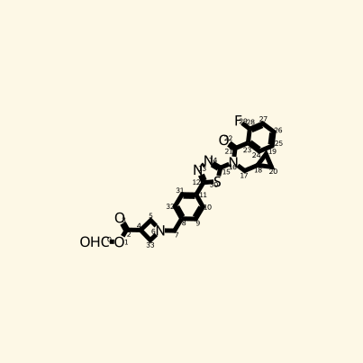 O=COC(=O)C1CN(Cc2ccc(-c3nnc(N(CC4CC4)C(=O)c4ccccc4F)s3)cc2)C1